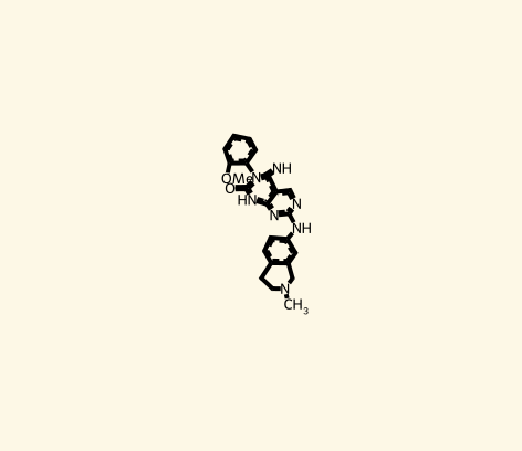 COc1ccccc1-n1c(=O)[nH]c2nc(Nc3ccc4c(c3)CN(C)CC4)ncc2c1=N